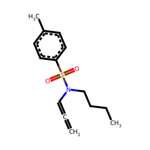 C=C=CN(CCCC)S(=O)(=O)c1ccc(C)cc1